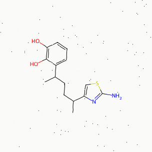 CC(CCC(C)c1cccc(O)c1O)c1csc(N)n1